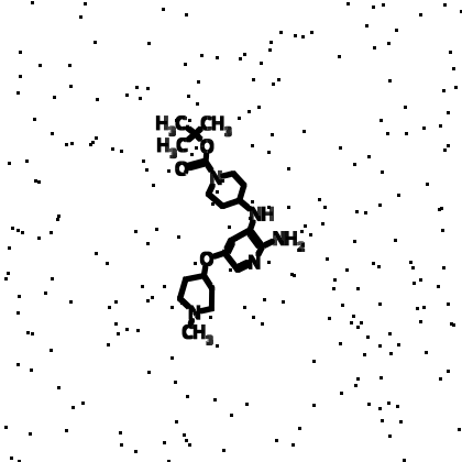 CN1CCC(Oc2cnc(N)c(NC3CCN(C(=O)OC(C)(C)C)CC3)c2)CC1